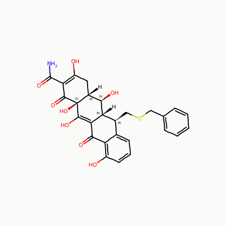 NC(=O)C1=C(O)C[C@@H]2[C@@H](O)[C@H]3C(=C(O)[C@]2(O)C1=O)C(=O)c1c(O)cccc1[C@@H]3CSCc1ccccc1